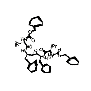 CC(C)[C@H](NC(=O)OCc1ccccc1)C(=O)N[C@@H](Cc1ccccc1)[C@@H]1O[C@@H]1[C@H](Cc1ccccc1)NC(=O)[C@@H](NC(=O)OCc1ccccc1)C(C)C